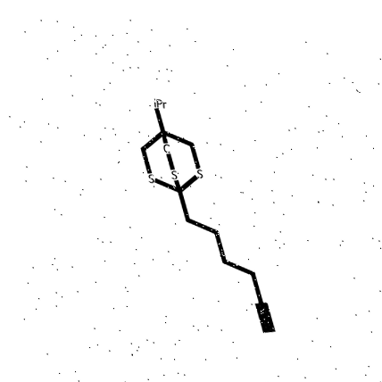 C#CCCCCC12SCC(C(C)C)(CS1)CS2